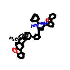 CC1(C)C2=CC3Oc4ccccc4C3C=C2C2=C1C=CC(c1cccc(C3C=C(c4cccc5c4oc4ccccc45)NC(c4ccccc4)N3)c1)C2